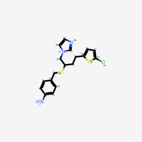 Nc1ccc(CSC(CCc2ccc(Cl)s2)Cn2ccnc2)cc1